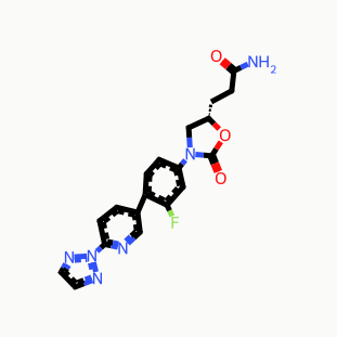 NC(=O)CC[C@H]1CN(c2ccc(-c3ccc(-n4nccn4)nc3)c(F)c2)C(=O)O1